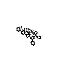 CC1(C)c2cc(-c3ccccc3)ccc2-c2ccc(-c3cc(-c4ccccc4)cc(N(c4ccccc4)c4ccccc4)c3)cc2C1(C)C